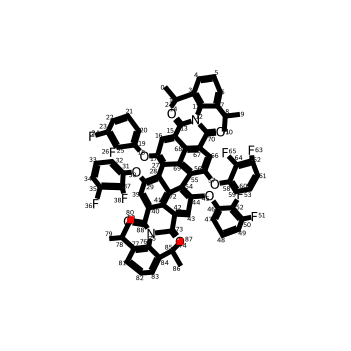 CC(C)c1cccc(C(C)C)c1N1C(=O)c2cc(Oc3cccc(F)c3F)c3c4c(Oc5cccc(F)c5F)cc5c6c(cc(Oc7cccc(F)c7F)c(c7c(Oc8cccc(F)c8F)cc(c2c37)C1=O)c64)C(=O)N(c1c(C(C)C)cccc1C(C)C)C5=O